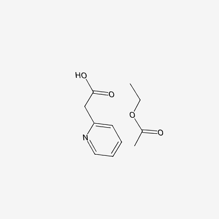 CCOC(C)=O.O=C(O)Cc1ccccn1